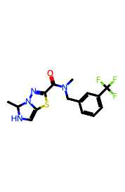 CC1NC=C2SC(C(=O)N(C)Cc3cccc(C(F)(F)F)c3)=NN21